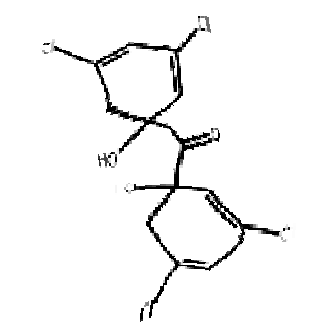 O=C(C1(O)C=C(Cl)C=C(Cl)C1)C1(O)C=C(Cl)C=C(Cl)C1